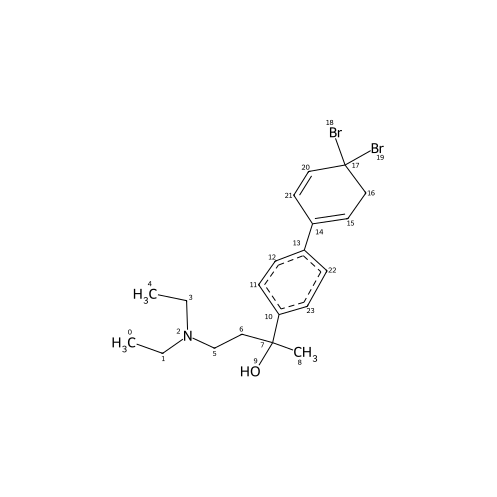 CCN(CC)CCC(C)(O)c1ccc(C2=CCC(Br)(Br)C=C2)cc1